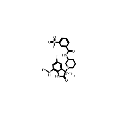 CCNc1cc(F)cc2c1NC(=O)[C@]2(C)N1CCCC(NC(=O)c2cccc(S(=O)(=O)F)c2)C1